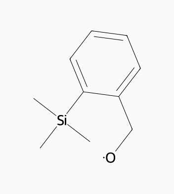 C[Si](C)(C)c1ccccc1C[O]